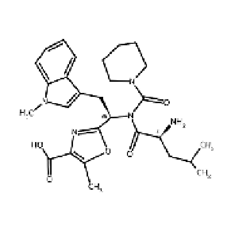 Cc1oc([C@@H](Cc2cn(C)c3ccccc23)N(C(=O)[C@@H](N)CC(C)C)C(=O)N2CCCCC2)nc1C(=O)O